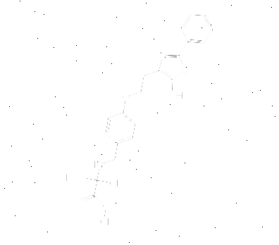 COC(=O)C(C)(C)NCc1ccc(OCCc2nc(-c3ccccc3)sc2C)cc1